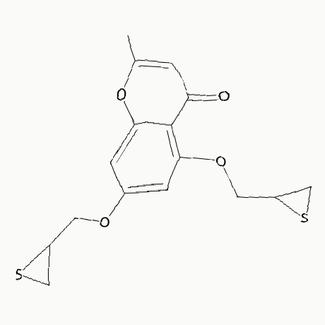 Cc1cc(=O)c2c(OCC3CS3)cc(OCC3CS3)cc2o1